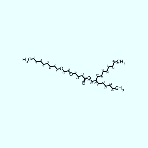 CCCCCCCCCOCCOCCCC(=O)OCC(CCCCCC)CCCCCCCC